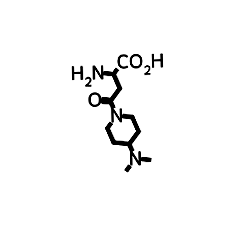 CN(C)C1CCN(C(=O)CC(N)C(=O)O)CC1